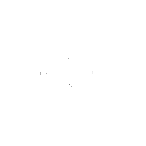 Cc1cc2c3c(c1)N(C14CC5CC(CC(C5)C1)C4)c1cccc4c1B3c1c(cccc1[Si]4(C)C)N2c1ccccc1